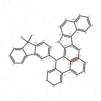 CC1(C)c2ccccc2-c2cc(N(C3=CCCC=C3c3ccccc3)c3cccc4c3oc3ccc5ccccc5c34)ccc21